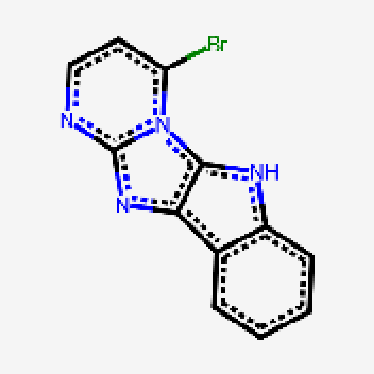 Brc1ccnc2nc3c4ccccc4[nH]c3n12